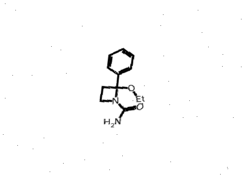 CCOC1(c2ccccc2)CCN1C(N)=O